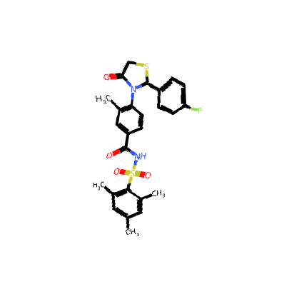 Cc1cc(C)c(S(=O)(=O)NC(=O)c2ccc(N3C(=O)CSC3c3ccc(F)cc3)c(C)c2)c(C)c1